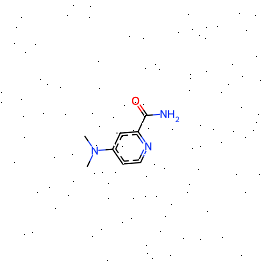 CN(C)c1[c]c(C(N)=O)ncc1